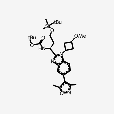 CO[C@H]1C[C@@H](n2c([C@H](CCO[Si](C)(C)C(C)(C)C)NC(=O)OC(C)(C)C)nc3cc(-c4c(C)noc4C)ccc32)C1